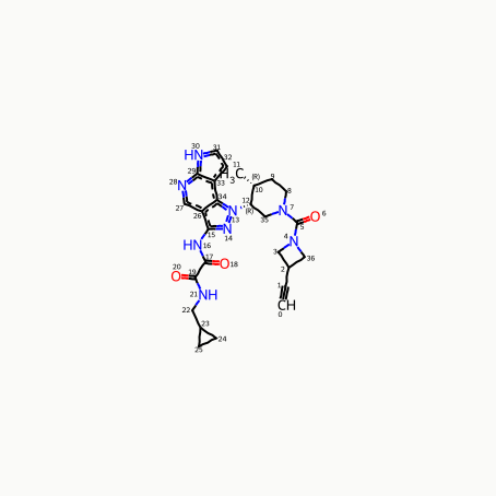 C#CC1CN(C(=O)N2CC[C@@H](C)[C@@H](n3nc(NC(=O)C(=O)NCC4CC4)c4cnc5[nH]ccc5c43)C2)C1